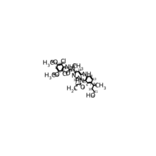 C=CC(=O)Nc1cc(C(C)CCO)ccc1Nc1cc(N(C)C(=O)Nc2c(Cl)c(OC)cc(OC)c2Cl)ncn1